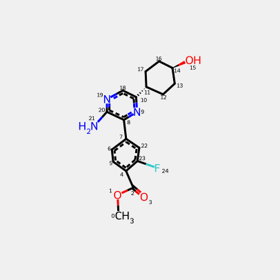 COC(=O)c1ccc(-c2nc([C@H]3CC[C@H](O)CC3)cnc2N)cc1F